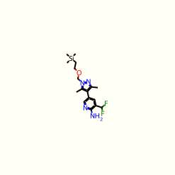 Cc1nn(COCC[Si](C)(C)C)c(C)c1-c1cnc(N)c(C(F)F)c1